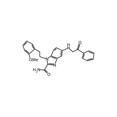 COc1ccccc1CCn1c(C(N)=O)nc2cc(NCC(=O)c3ccccc3)ccc21